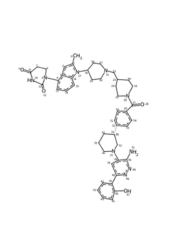 Cc1cc2c(N3CCC(=O)NC3=O)cccc2n1C1CCN(CC2CCN(C(=O)c3ccc([C@H]4CCCN(c5cc(-c6ccccc6O)nnc5N)C4)cc3)CC2)CC1